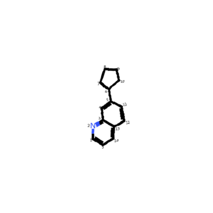 c1cnc2cc(C3CCCC3)ccc2c1